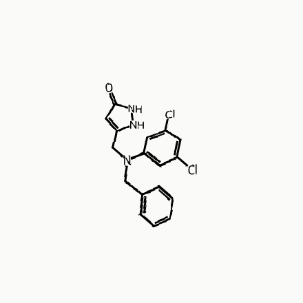 O=c1cc(CN(Cc2ccccc2)c2cc(Cl)cc(Cl)c2)[nH][nH]1